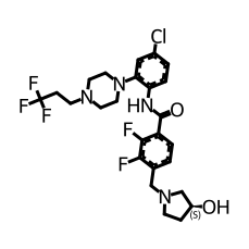 O=C(Nc1ccc(Cl)cc1N1CCN(CCC(F)(F)F)CC1)c1ccc(CN2CC[C@H](O)C2)c(F)c1F